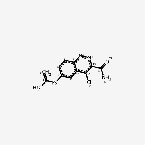 C=C(C)Sc1ccc2nnc(C(N)=O)c(Cl)c2c1